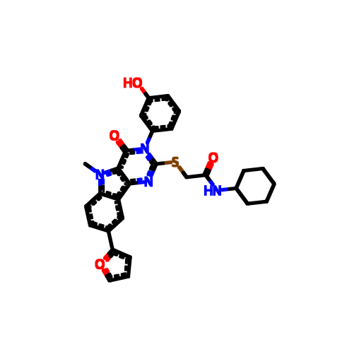 Cn1c2ccc(-c3ccco3)cc2c2nc(SCC(=O)NC3CCCCC3)n(-c3cccc(O)c3)c(=O)c21